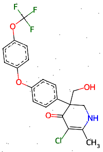 CC1=C(Cl)C(=O)C(CO)(c2ccc(Oc3ccc(OC(F)(F)F)cc3)cc2)CN1